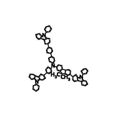 CC1(C)c2cc(-c3ccc4c5ccccc5n(-c5ccccc5)c4c3)ccc2-c2ccc(N(c3ccc(-c4ccc(-c5ccc6c(c5)c5ccccc5n6-c5ccccc5)cc4)cc3)c3ccc(-c4ccc5c(c4)c4ccccc4n5-c4ccccc4)cc3)cc21